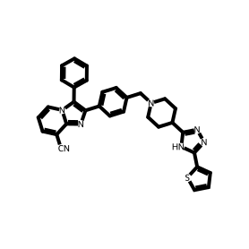 N#Cc1cccn2c(-c3ccccc3)c(-c3ccc(CN4CCC(c5nnc(-c6cccs6)[nH]5)CC4)cc3)nc12